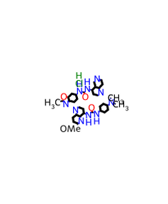 COc1ccc2nccc(NC(=O)Nc3ccc(N(C)C)cc3)c2n1.Cc1nc2ccc(NC(=O)Nc3ccnc4ccncc34)cc2o1.Cl